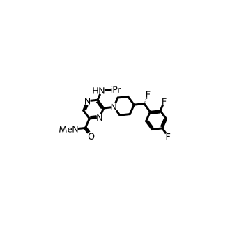 CNC(=O)c1cnc(NC(C)C)c(N2CCC([C@H](F)c3ccc(F)cc3F)CC2)n1